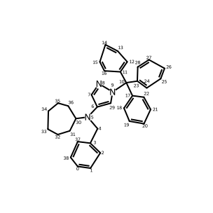 c1ccc(CN(c2cnn(C(c3ccccc3)(c3ccccc3)c3ccccc3)c2)C2CCCCCC2)cc1